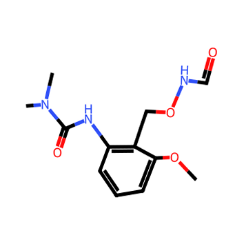 COc1cccc(NC(=O)N(C)C)c1CONC=O